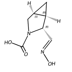 O=C(O)N1C[C@H]2C[C@H]2[C@@H]1C=NO